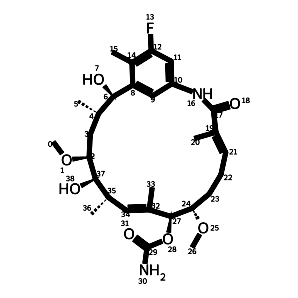 CO[C@H]1C[C@H](C)[C@@H](O)c2cc(cc(F)c2C)NC(=O)/C(C)=C/CC[C@H](OC)[C@@H](OC(N)=O)/C(C)=C/[C@H](C)[C@H]1O